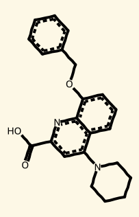 O=C(O)c1cc(N2CCCCC2)c2cccc(OCc3ccccc3)c2n1